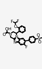 CS(=O)(=O)c1ccc(-c2cc3c(cc2F)nc2n3C(c3ccccc3OC(F)F)CN(C(=O)O)C2)cc1